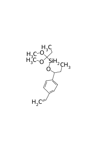 C=Cc1ccc(C(CC)O[SiH2]C(CC)(OC)OC)cc1